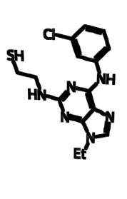 CCn1cnc2c(Nc3cccc(Cl)c3)nc(NCCS)nc21